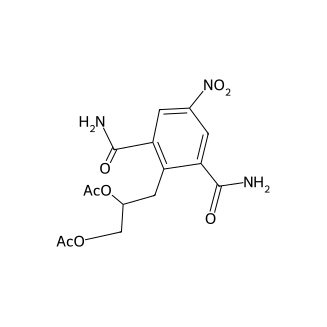 CC(=O)OCC(Cc1c(C(N)=O)cc([N+](=O)[O-])cc1C(N)=O)OC(C)=O